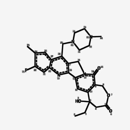 CCC1(O)CC(=O)OCc2c1cc1n(c2=O)Cc2c-1nc1cc(F)c(C)cc1c2CN1CCN(C)CC1